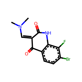 CN(C)/C=C1\C(=O)Nc2c(ccc(Br)c2F)C1=O